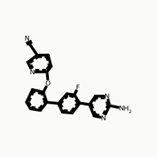 N#Cc1ccc(Oc2ccccc2-c2ccc(-c3cnc(N)nc3)c(F)c2)nc1